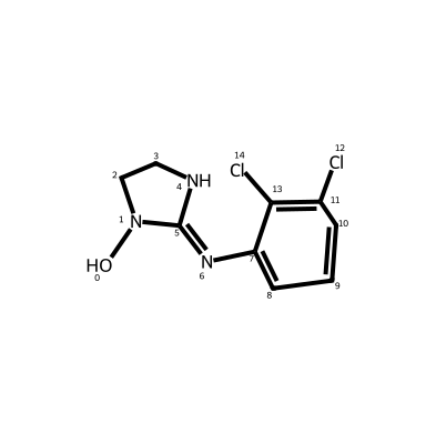 ON1CCN/C1=N\c1cccc(Cl)c1Cl